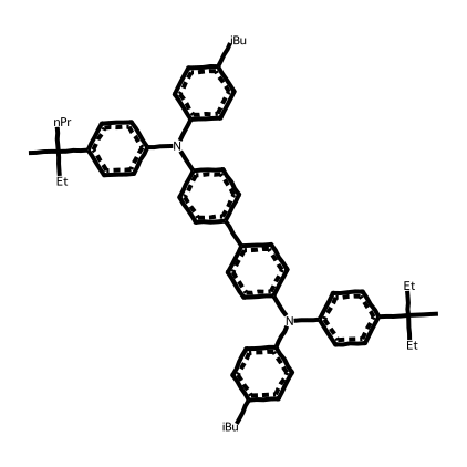 CCCC(C)(CC)c1ccc(N(c2ccc(-c3ccc(N(c4ccc(C(C)CC)cc4)c4ccc(C(C)(CC)CC)cc4)cc3)cc2)c2ccc(C(C)CC)cc2)cc1